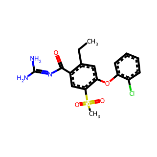 CCc1cc(Oc2ccccc2Cl)c(S(C)(=O)=O)cc1C(=O)N=C(N)N